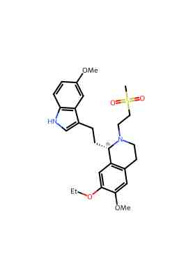 CCOc1cc2c(cc1OC)CCN(CCS(C)(=O)=O)[C@H]2CCc1c[nH]c2ccc(OC)cc12